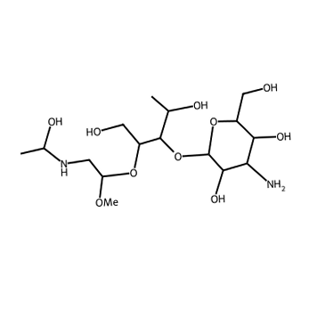 COC(CNC(C)O)OC(CO)C(OC1OC(CO)C(O)C(N)C1O)C(C)O